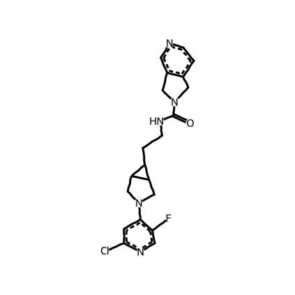 O=C(NCCC1C2CN(c3cc(Cl)ncc3F)CC12)N1Cc2ccncc2C1